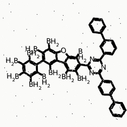 Bc1c(B)c(B)c(-c2c(B)c(B)c3oc4c(B)c(-c5nc(-c6ccc(-c7ccccc7)cc6)nc(-c6cccc(-c7ccccc7)c6)n5)c(B)c(B)c4c3c2B)c(B)c1B